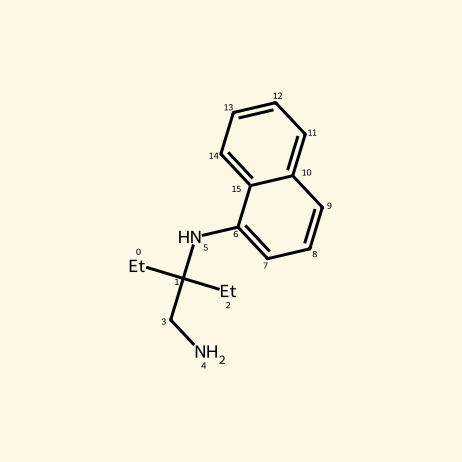 CCC(CC)(CN)Nc1cccc2ccccc12